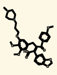 COc1ccc(C(=O)C(Cc2cc(OC)c(OC)c(OCCCN3CCN(C)CC3)c2)=C(C(=O)O)c2ccc3c(c2)OCO3)cc1